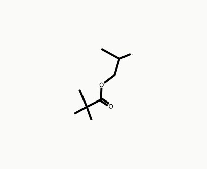 [CH2]C(C)COC(=O)C(C)(C)C